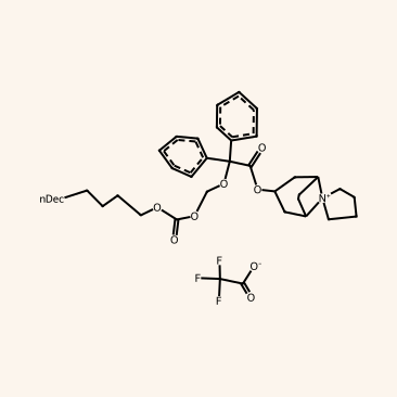 CCCCCCCCCCCCCCOC(=O)OCOC(C(=O)OC1CC2CCC(C1)[N+]21CCCC1)(c1ccccc1)c1ccccc1.O=C([O-])C(F)(F)F